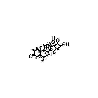 C[C@H]1C[C@@H]2C(=CC[C@@]3(C)[C@H]2CC[C@]3(O)C(=O)CO)[C@@]2(C)CCC(=O)C=C12